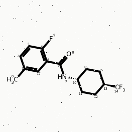 Cc1ccc(F)c(C(=O)N[C@H]2CC[C@H](C(F)(F)F)CC2)c1